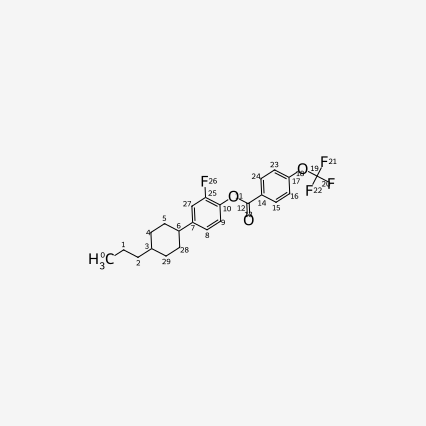 CCCC1CCC(c2ccc(OC(=O)c3ccc(OC(F)(F)F)cc3)c(F)c2)CC1